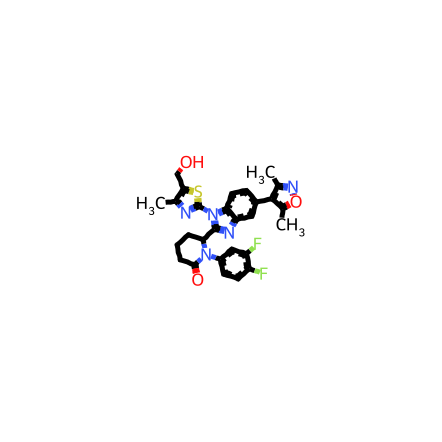 Cc1nc(-n2c(C3CCCC(=O)N3c3ccc(F)c(F)c3)nc3cc(-c4c(C)noc4C)ccc32)sc1CO